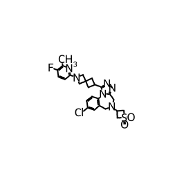 Cc1nc(N2CC3(CC(c4nnc5n4-c4ccc(Cl)cc4CN(C4CS(=O)(=O)C4)C5)C3)C2)ccc1F